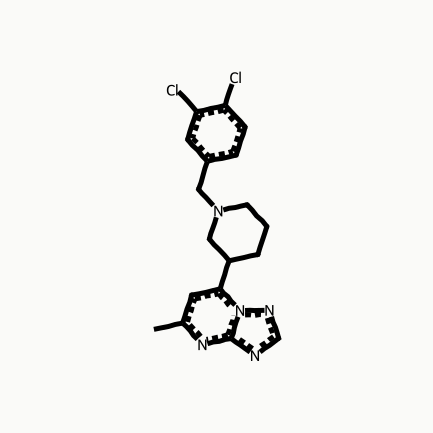 Cc1cc(C2CCCN(Cc3ccc(Cl)c(Cl)c3)C2)n2ncnc2n1